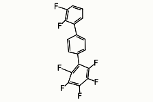 Fc1cccc(-c2ccc(-c3c(F)c(F)c(F)c(F)c3F)cc2)c1F